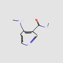 CNC(=O)c1cnccc1NC